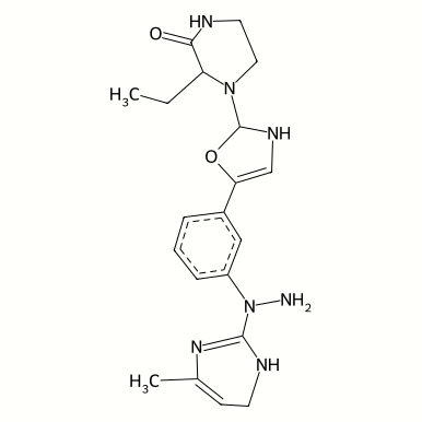 CCC1C(=O)NCCN1C1NC=C(c2cccc(N(N)C3=NC(C)=CCN3)c2)O1